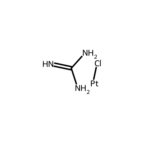 N=C(N)N.[Cl][Pt]